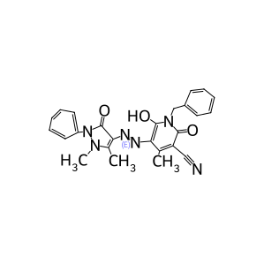 Cc1c(/N=N/c2c(C)n(C)n(-c3ccccc3)c2=O)c(O)n(Cc2ccccc2)c(=O)c1C#N